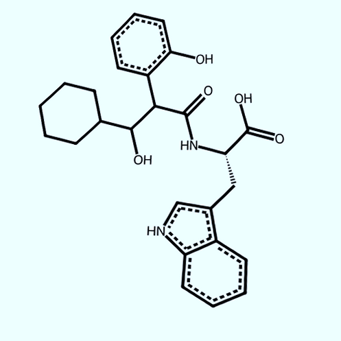 O=C(N[C@@H](Cc1c[nH]c2ccccc12)C(=O)O)C(c1ccccc1O)C(O)C1CCCCC1